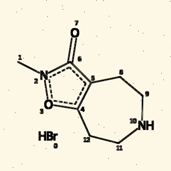 Br.Cn1oc2c(c1=O)CCNCC2